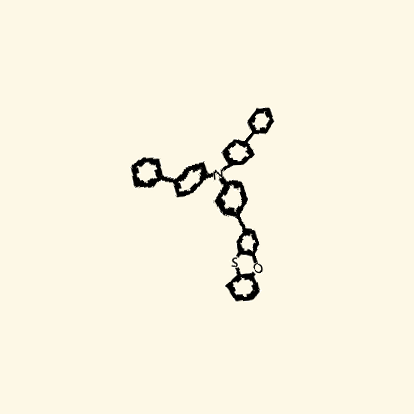 c1ccc(-c2ccc(N(c3ccc(-c4ccccc4)cc3)c3ccc(-c4ccc5c(c4)Sc4ccccc4O5)cc3)cc2)cc1